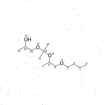 CCCCOCC(C)OC(C)(C)OCC(C)O